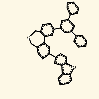 c1ccc(-c2cc(-c3ccccc3)cc(-c3ccc4c(c3)-c3cc(-c5ccc6oc7ccccc7c6c5)ccc3COC4)c2)cc1